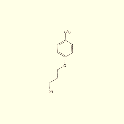 CCCCc1ccc(OCCCS)cc1